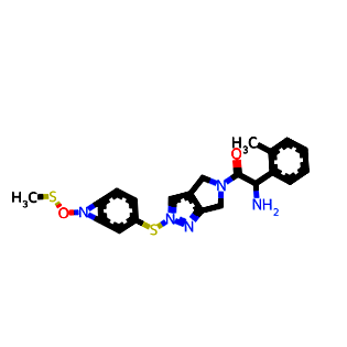 CSON1c2ccc(Sn3cc4c(n3)CN(C(=O)C(N)c3ccccc3C)C4)cc21